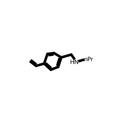 C=Cc1ccc(CNCCC)cc1